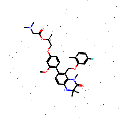 COc1cc(OC[C@H](C)OC(=O)CN(C)C)ccc1-c1ccc2c(c1COc1cc(F)ccc1C)N(C)C(=O)C(C)(C)N2